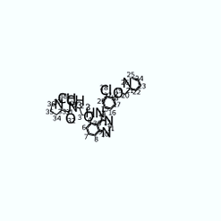 CN(CCOc1cccc2ncnc(Nc3ccc(OCc4ccccn4)c(Cl)c3)c12)C(=O)C1CCCN1C